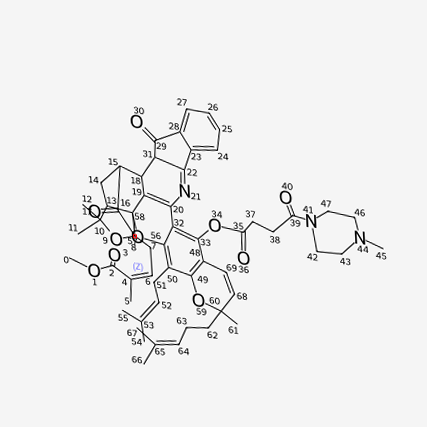 COC(=O)/C(C)=C\CC12OC(C)(C)C3CC(C1=O)C1C4=C(N=C5c6ccccc6C(=O)C51)c1c(OC(=O)CCC(=O)N5CCN(C)CC5)c5c(c(CC=C(C)C)c1OC432)OC(C)(CCC=C(C)C)C=C5